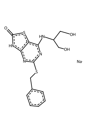 O=c1[nH]c2nc(SCc3ccccc3)nc(NC(CO)CO)c2s1.[Na]